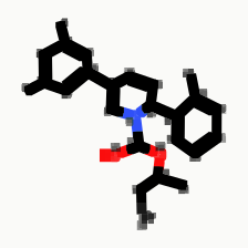 Cc1cc(C)cc(C2=CN(C(O)OC(C)CC(C)C)C(c3ccccc3C)C=C2)c1